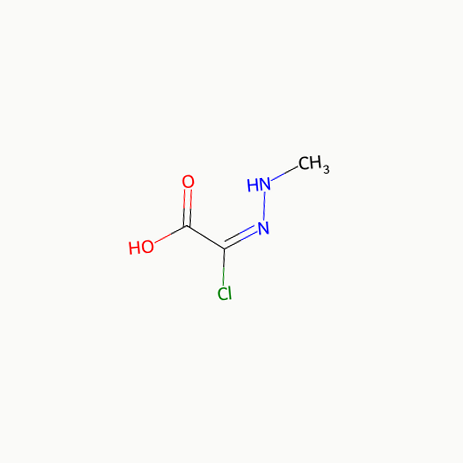 CN/N=C(/Cl)C(=O)O